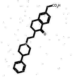 O=C(O)Cc1ccc2c(c1)CCC(CCN1CCC(c3ccccc3)CC1)C2=O